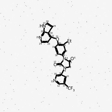 CCc1cc(N2C(=O)CN(c3cncc(C(F)(F)F)c3)C2=O)ccc1Oc1ccnc2[nH]ccc12